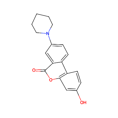 O=c1oc2cc(O)ccc2c2ccc(N3CCCCC3)cc12